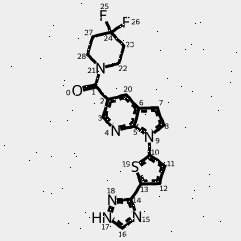 O=C(c1cnc2c(ccn2-c2ccc(-c3nc[nH]n3)s2)c1)N1CCC(F)(F)CC1